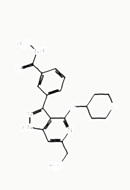 CCc1cc2[nH]nc(-c3cccc(C(=O)NC)c3)c2c(OC2CCOCC2)n1